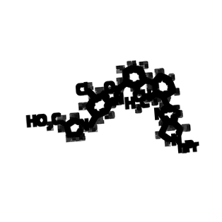 CCCN1CCc2nc(-c3cccc(-c4cccc(-c5nc6cc(CN7CC[C@@H](C(=O)O)C7)cc(Cl)c6o5)c4C)c3C)sc2C1